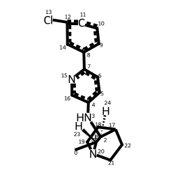 C[C@@H]1[C@@H](Nc2ccc(-c3cccc(Cl)c3)nc2)C2CCN1CC2